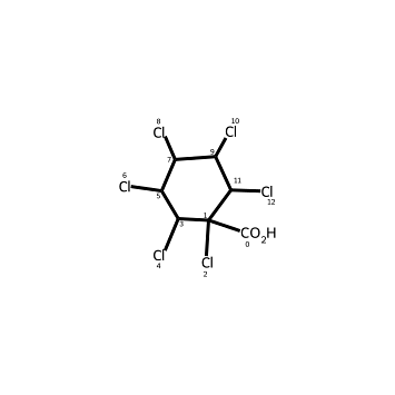 O=C(O)C1(Cl)C(Cl)C(Cl)C(Cl)C(Cl)C1Cl